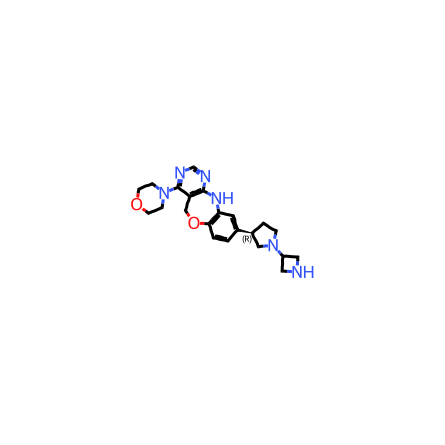 c1nc2c(c(N3CCOCC3)n1)COc1ccc([C@H]3CCN(C4CNC4)C3)cc1N2